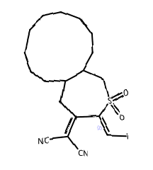 N#CC(C#N)=C1CC2CCCCCCCCCC2CS(=O)(=O)/C1=C\I